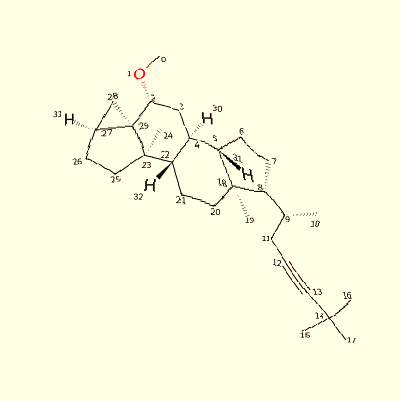 CO[C@@H]1C[C@H]2[C@@H]3CC[C@H]([C@H](C)CC#CC(C)(C)C)[C@@]3(C)CC[C@@H]2[C@@]2(C)CC[C@H]3C[C@]312